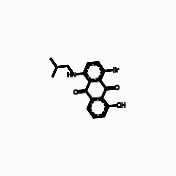 CC(C)CNc1ccc(Br)c2c1C(=O)c1cccc(O)c1C2=O